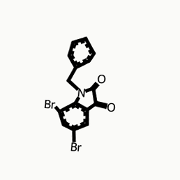 O=C1C(=O)N(Cc2ccccc2)c2c(Br)cc(Br)cc21